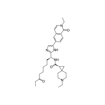 CCC(=O)CCCCC[C@H](NC(=O)[C@H]1CC12CCN(CC)CC2)c1ncc(-c2ccc3c(=O)n(CC)ccc3c2)[nH]1